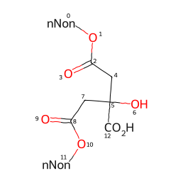 CCCCCCCCCOC(=O)CC(O)(CC(=O)OCCCCCCCCC)C(=O)O